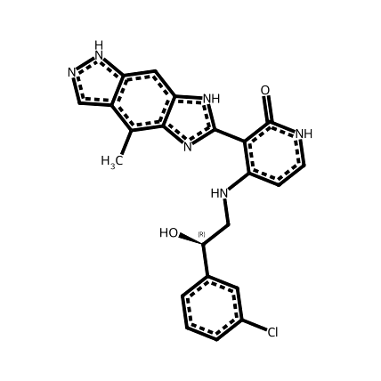 Cc1c2cn[nH]c2cc2[nH]c(-c3c(NC[C@H](O)c4cccc(Cl)c4)cc[nH]c3=O)nc12